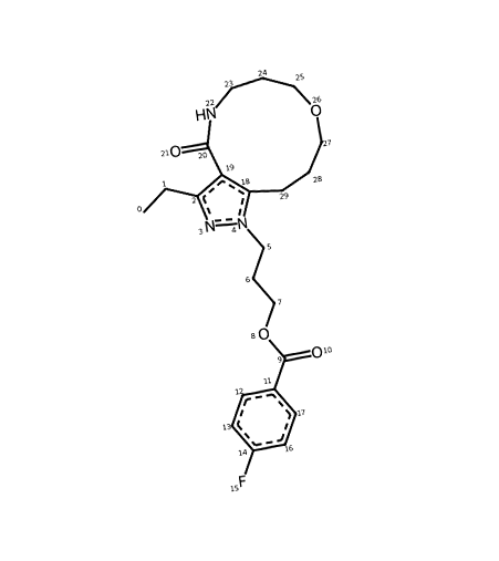 CCc1nn(CCCOC(=O)c2ccc(F)cc2)c2c1C(=O)NCCCOCCC2